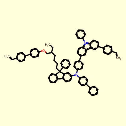 C=Cc1ccc(-c2ccc(OCC(CC)CCCCC3(c4ccccc4)c4ccccc4-c4ccc(N(c5ccc(-c6ccccc6)cc5)c5ccc(-c6ccc7c(c6)c6cc(-c8ccc(C=C)cc8)ccc6n7-c6ccccc6)cc5)cc43)cc2)cc1